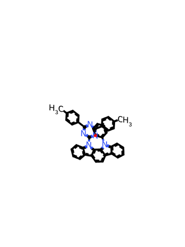 Cc1ccc(-c2nc(-c3ccc(C)cc3)nc(-n3c4ccccc4c4ccc5c6ccccc6n(-c6ccccc6)c5c43)n2)cc1